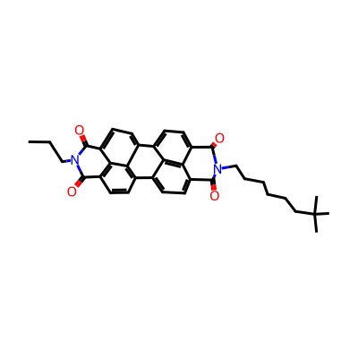 CCCN1C(=O)c2ccc3c4ccc5c6c(ccc(c7ccc(c2c37)C1=O)c64)C(=O)N(CCCCCCC(C)(C)C)C5=O